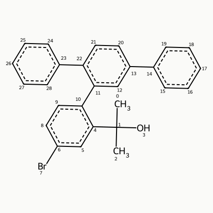 CC(C)(O)c1cc(Br)ccc1-c1cc(-c2ccccc2)ccc1-c1ccccc1